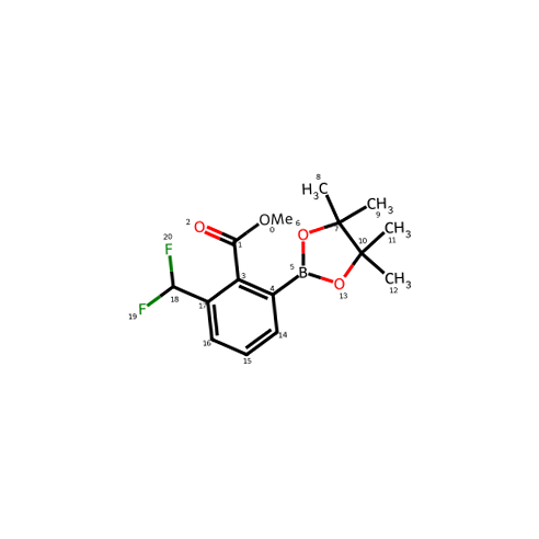 COC(=O)c1c(B2OC(C)(C)C(C)(C)O2)cccc1C(F)F